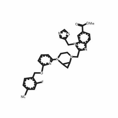 COC(=O)c1ccc2nc(CN3CCN(c4cccc(OCc5ccc(C#N)cc5F)n4)C4CC43)n(Cc3cncs3)c2c1